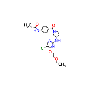 C=CC(=O)Nc1ccc(C(=O)N2CCC(Nc3ncc(Cl)c(OCCOCC)n3)C2)cc1